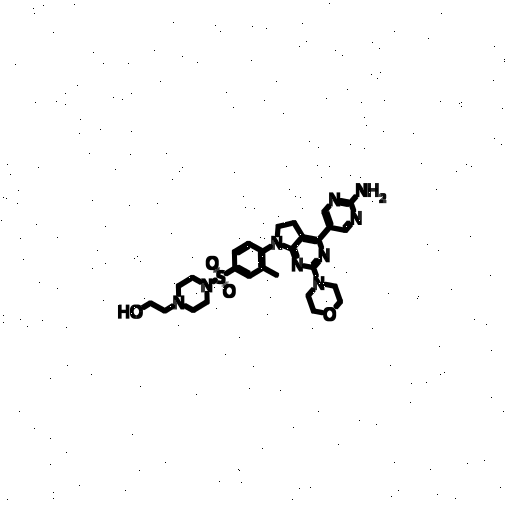 Cc1cc(S(=O)(=O)N2CCN(CCO)CC2)ccc1N1CCc2c(-c3cnc(N)nc3)nc(N3CCOCC3)nc21